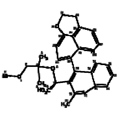 CCOCC(C)(C)O[C@H](C(=O)O)c1c(C)cc2ccccc2c1-c1ccc2c3c(ccnc13)CCO2